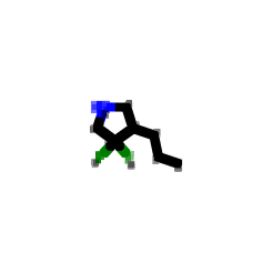 CCCC1CNCC1(F)F